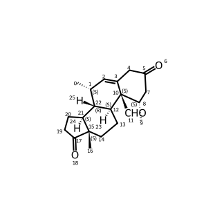 C[C@@H]1C=C2CC(=O)C[C@H](C)[C@]2(C=O)[C@H]2CC[C@]3(C)C(=O)CC[C@H]3[C@H]12